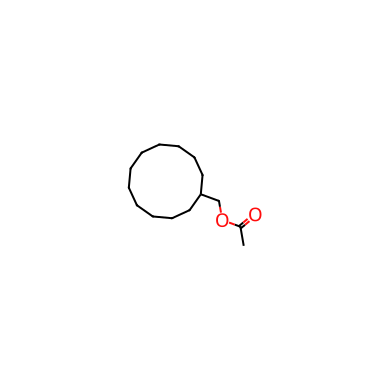 CC(=O)OCC1CCCCCCCCCCC1